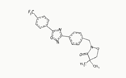 CC1(C)CON(Cc2ccc(-c3noc(-c4ccc(C(F)(F)F)cc4)n3)cc2)C1=O